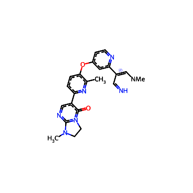 CN/C=C(\C=N)c1cc(Oc2ccc(-c3cnc4n(c3=O)CCN4C)nc2C)ccn1